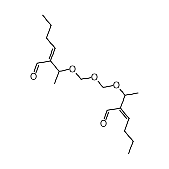 CCCC=C(C=O)C(C)OCOCOC(C)C(C=O)=CCCC